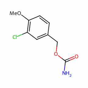 COc1ccc(COC(N)=O)cc1Cl